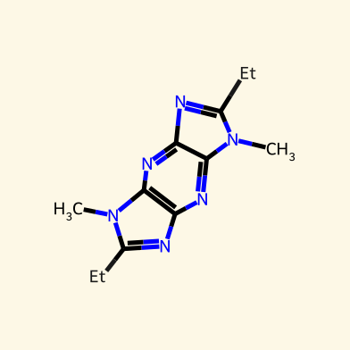 CCc1nc2nc3c(nc(CC)n3C)nc2n1C